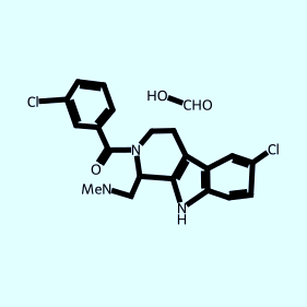 CNCC1c2[nH]c3ccc(Cl)cc3c2CCN1C(=O)c1cccc(Cl)c1.O=CO